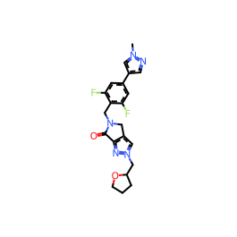 Cn1cc(-c2cc(F)c(CN3Cc4cn(CC5CCCO5)nc4C3=O)c(F)c2)cn1